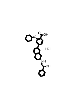 Cl.O=C(O)c1ccc(-c2ccc3c(c2)C[C@@H](NC[C@@H](O)c2ccccc2)CC3)cc1OC1CCCCC1